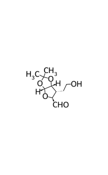 CC1(C)O[C@H]2O[C@H](C=O)[C@@H](CCO)[C@H]2O1